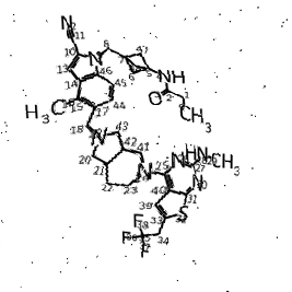 CCC(=O)NC12CC(Cn3c(C#N)cc4c(C)c(CN5CC6CCN(c7nc(NC)nc8sc(CC(F)(F)F)cc78)CC6C5)ccc43)(C1)C2